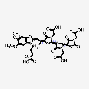 COc1cc2c(cc1OC)N(CCCS(=O)(=O)O)C(=C/C(C)=c1/s/c(=c3/o/c(=C4/SC(=O)N(CC(=O)O)C4=O)n(CC(=O)O)c3=O)n(CC(=O)O)c1=O)O2